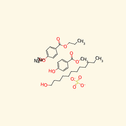 CCCCCCCCCCCCO.CCCOC(=O)c1ccc(O)cc1.COC(=O)c1ccc(O)cc1.O=S(=O)([O-])[O-].[Na+].[Na+]